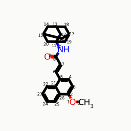 COc1ccc(/C=C/C(=O)NC23CC4CC(CC(C4)C2)C3)c2ccccc12